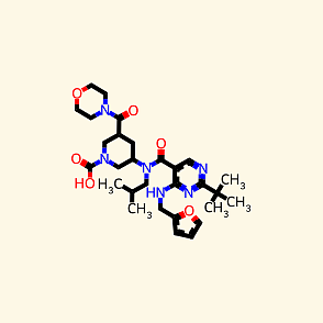 CC(C)CN(C(=O)c1cnc(C(C)(C)C)nc1NCc1ccco1)C1CC(C(=O)N2CCOCC2)CN(C(=O)O)C1